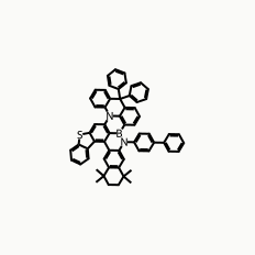 CC1(C)CCC(C)(C)c2cc3c(cc21)-c1c2c(cc4sc5ccccc5c14)N1c4ccccc4C(c4ccccc4)(c4ccccc4)c4cccc(c41)B2N3c1ccc(-c2ccccc2)cc1